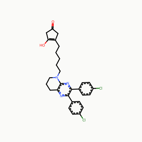 O=C1CC(O)=C(CCCCCN2CCCc3nc(-c4ccc(Cl)cc4)c(-c4ccc(Cl)cc4)nc32)C1